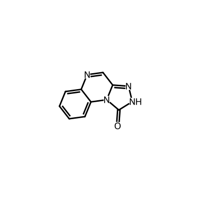 O=c1[nH]nc2cnc3ccccc3n12